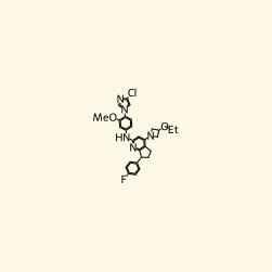 CCOC1CN(c2cc(Nc3ccc(-n4cnc(Cl)c4)c(OC)c3)nc3c2CCC3c2ccc(F)cc2)C1